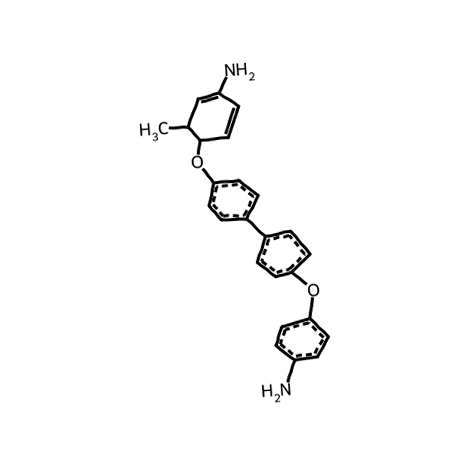 CC1C=C(N)C=CC1Oc1ccc(-c2ccc(Oc3ccc(N)cc3)cc2)cc1